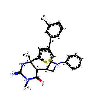 CN1C(=N)N[C@](C)(c2cc(-c3cccc(C#N)c3)cs2)C(C2CN(c3ccccc3)C2)C1=O